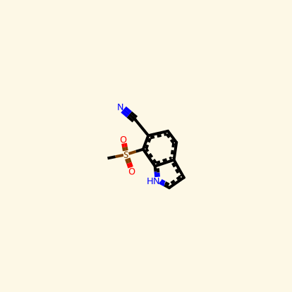 CS(=O)(=O)c1c(C#N)ccc2cc[nH]c12